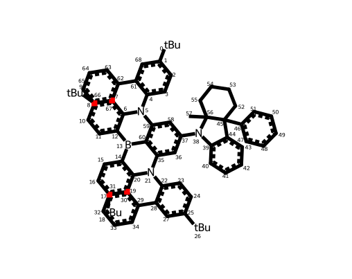 CC(C)(C)c1ccc(N2c3cc(C(C)(C)C)ccc3B3c4ccc(C(C)(C)C)cc4N(c4ccc(C(C)(C)C)cc4-c4ccccc4)c4cc(N5c6ccccc6C6(c7ccccc7)CCCCC56C)cc2c43)c(-c2ccccc2)c1